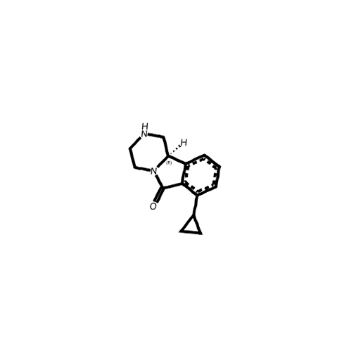 O=C1c2c(C3CC3)cccc2[C@@H]2CNCCN12